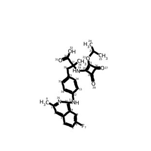 Cc1cc2ccc(F)cc2c(Nc2ccc(CC(C)(Nc3c(OC(C)C)c(=O)c3=O)C(=O)O)cc2)n1